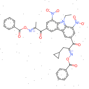 CCn1c2c([N+](=O)[O-])cc(C(=O)/C(C)=N/OC(=O)c3ccccc3)cc2c2cc(C(=O)/C(CC3CC3)=N/OC(=O)c3ccccc3)cc([N+](=O)[O-])c21